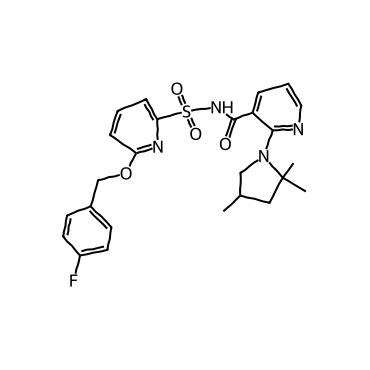 CC1CN(c2ncccc2C(=O)NS(=O)(=O)c2cccc(OCc3ccc(F)cc3)n2)C(C)(C)C1